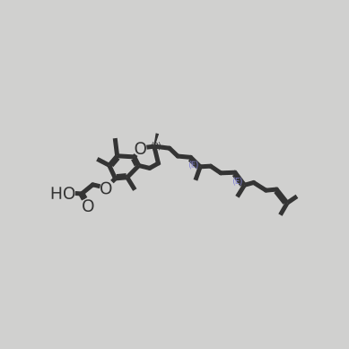 CC(C)=CCC/C(C)=C/CC/C(C)=C/CC[C@]1(C)CCc2c(C)c(OCC(=O)O)c(C)c(C)c2O1